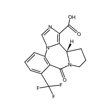 O=C(O)c1ncn2c1[C@@H]1CCCN1C(=O)c1c-2cccc1C(F)(F)F